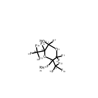 OC1(F)OC(F)(F)C(F)(C(F)(F)F)OC1(F)C(F)(F)F.[KH]